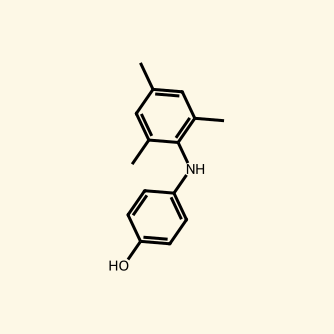 Cc1cc(C)c(Nc2ccc(O)cc2)c(C)c1